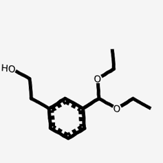 CCOC(OCC)c1cccc(CCO)c1